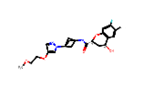 O=C(NC12CC(n3cc(OCCOC(F)(F)F)cn3)(C1)C2)[C@H]1C[C@H](O)c2cc(C(F)(F)F)c(F)cc2O1